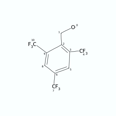 [O]Cc1c(C(F)(F)F)cc(C(F)(F)F)cc1C(F)(F)F